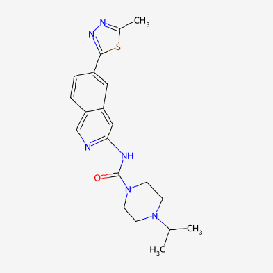 Cc1nnc(-c2ccc3cnc(NC(=O)N4CCN(C(C)C)CC4)cc3c2)s1